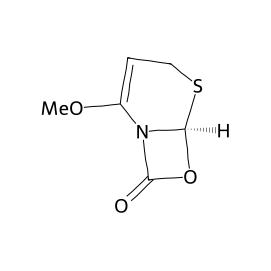 COC1=CCS[C@H]2OC(=O)N12